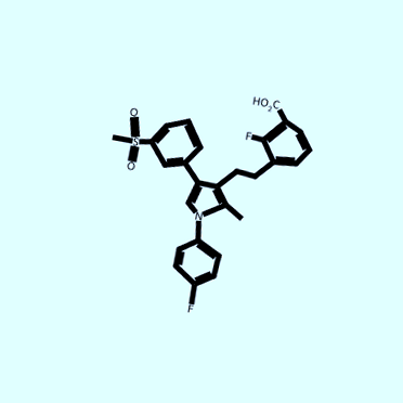 Cc1c(CCc2cccc(C(=O)O)c2F)c(-c2cccc(S(C)(=O)=O)c2)cn1-c1ccc(F)cc1